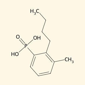 CCCCc1c(C)cccc1P(=O)(O)O